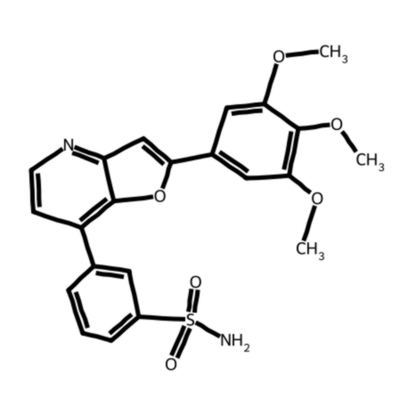 COc1cc(-c2cc3nccc(-c4cccc(S(N)(=O)=O)c4)c3o2)cc(OC)c1OC